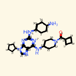 NC1CCC(Nc2nc(NC3CCN(C(=O)C4CCC4)CC3)c3ncn(C4CCCC4)c3n2)CC1